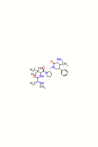 CN[C@@H](C)C(=O)N[C@H](C(=O)N1CCC[C@H]1CN1CC(c2ccccc2)C(C)[C@@H](N)C1=O)C(C)(C)C